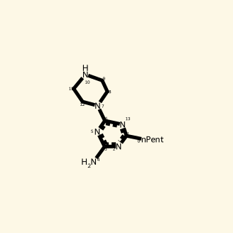 CCCCCc1nc(N)nc(N2CCNCC2)n1